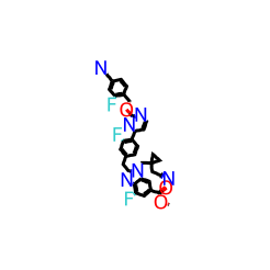 COC(=O)c1cc(F)c2nc(Cc3ccc(-c4ccnc(OCc5ccc(C#N)cc5F)n4)c(F)c3)n(CC3(CC#N)CC3)c2c1